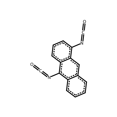 O=C=Nc1cccc2c(N=C=O)c3ccccc3cc12